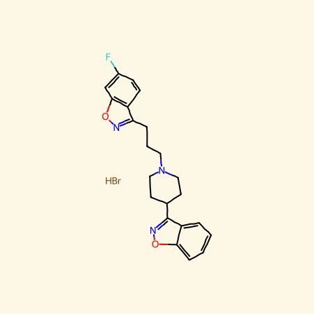 Br.Fc1ccc2c(CCCN3CCC(c4noc5ccccc45)CC3)noc2c1